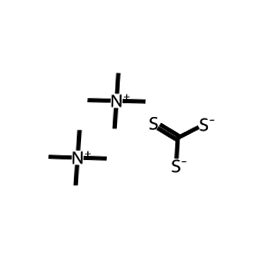 C[N+](C)(C)C.C[N+](C)(C)C.S=C([S-])[S-]